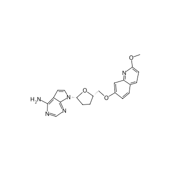 COc1ccc2ccc(OC[C@@H]3CC[C@H](n4ccc5c(N)ncnc54)O3)cc2n1